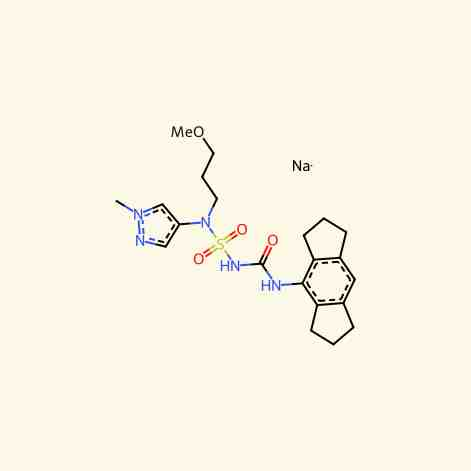 COCCCN(c1cnn(C)c1)S(=O)(=O)NC(=O)Nc1c2c(cc3c1CCC3)CCC2.[Na]